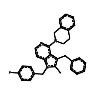 Cc1c(Cc2ccccc2)c2c(N3CCc4ccccc4C3)nccc2n1Cc1ccc(F)cc1